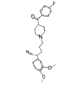 COc1ccc(C(C#N)CCCN2CCC(C(=O)c3ccc(F)cc3)CC2)cc1OC